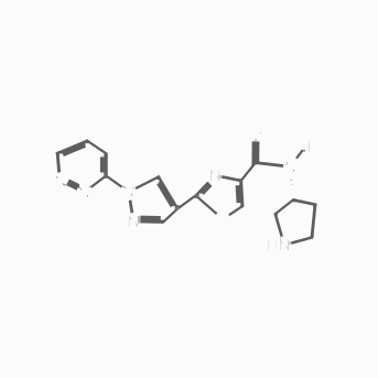 CC(C)N(C(=O)c1csc(-c2cnn(-c3cccnn3)c2)n1)[C@@H]1CCNC1